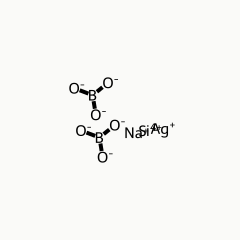 [Ag+].[Na+].[O-]B([O-])[O-].[O-]B([O-])[O-].[Si+4]